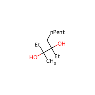 CCCCCCC(O)(CC)C(C)(O)CC